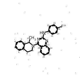 CC1c2ccccc2CCN1c1nc(Nc2ccc(F)cc2)nc2ccccc12